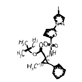 C[C@H]1C(c2ccccc2)[C@]1(NS(=O)(=O)c1ccc(-n2cc(I)cn2)s1)C(=O)OC(C)(C)C